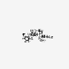 CC(=O)N[C@@H](CC(C)C)C(=O)N[C@H](CC(C)C)C(=O)NCc1c(F)cccc1F